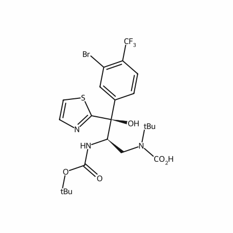 CC(C)(C)OC(=O)N[C@H](CN(C(=O)O)C(C)(C)C)[C@@](O)(c1ccc(C(F)(F)F)c(Br)c1)c1nccs1